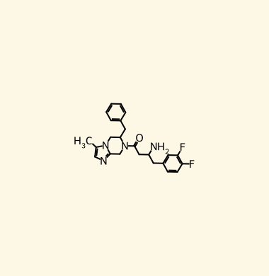 Cc1cnc2n1CC(Cc1ccccc1)N(C(=O)CC(N)Cc1ccc(F)c(F)c1)C2